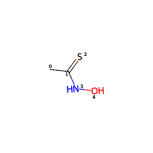 CC(=S)NO